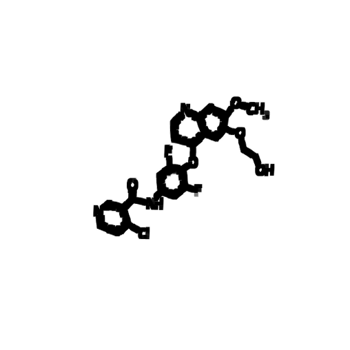 COc1cc2nccc(Oc3c(F)cc(NC(=O)c4cnccc4Cl)cc3F)c2cc1OCCO